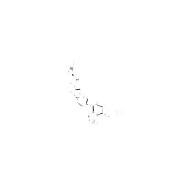 Cc1c(F)c(N(C)C)c2[nH]ncc2c1-c1ccc2nc(NC(=O)[C@H]3C[C@H]3F)cn2c1